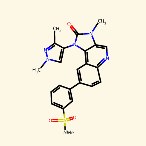 CNS(=O)(=O)c1cccc(-c2ccc3ncc4c(c3c2)n(-c2cn(C)nc2C)c(=O)n4C)c1